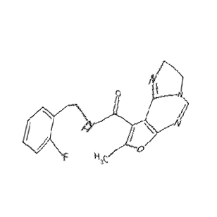 Cc1oc2c(c1C(=O)NCc1ccccc1F)C1=NCCN1C=N2